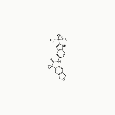 CC(C)(C)c1cc2cc(NC(=O)C3(c4ccc5c(c4)COC5)CC3)ccc2[nH]1